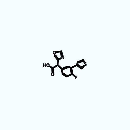 O=C(O)C(c1ccc(F)c(-c2ccsc2)c1)c1cocn1